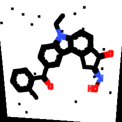 CCn1c2ccc(C(=O)c3ccccc3C)cc2c2c3c(ccc21)C(=O)/C(=N/O)C3